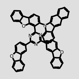 c1ccc2cc3c(cc2c1)c1ccccc1n3-c1ccc2c(oc3ccccc32)c1-c1nc(-c2ccc3oc4ccccc4c3c2)nc(-c2ccc3oc4ccccc4c3c2)n1